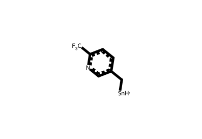 FC(F)(F)c1ccc([CH2][SnH])cn1